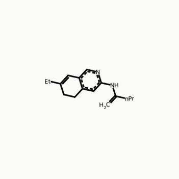 C=C(CCC)Nc1cc2c(cn1)C=C(CC)CC2